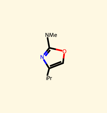 CNc1nc(C(C)C)co1